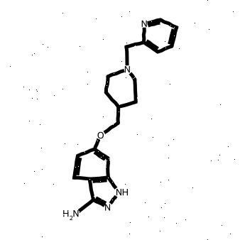 Nc1n[nH]c2cc(OCC3CCN(Cc4ccccn4)CC3)ccc12